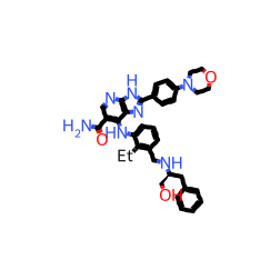 CCc1c(CN[C@H](CO)Cc2ccccc2)cccc1Nc1c(C(N)=O)cnc2[nH]c(-c3ccc(N4CCOCC4)cc3)nc12